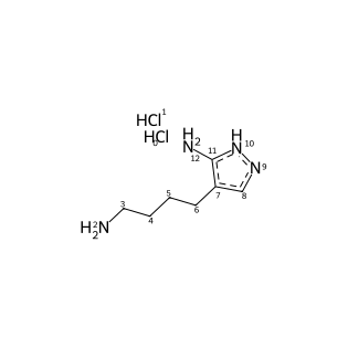 Cl.Cl.NCCCCc1cn[nH]c1N